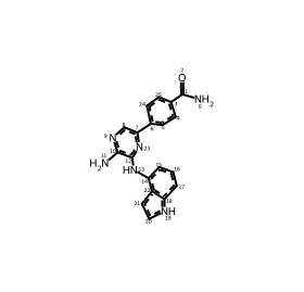 NC(=O)c1ccc(-c2cnc(N)c(Nc3cccc4[nH]ccc34)n2)cc1